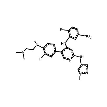 CN(C)CCN(C)c1ccc(-c2cnc(Nc3cnn(C)c3)nc2Nc2cc([N+](=O)[O-])ccc2F)cc1F